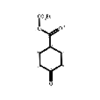 CCOC(=O)OC(=O)C1CCC(=O)CC1